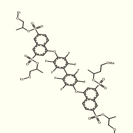 CCOCC(C)OS(=O)(=O)c1ccc2c(Oc3c(F)c(F)c(-c4c(F)c(F)c(Oc5cc(S(=O)(=O)OC(C)COCC)cc6cc(S(=O)(=O)OC(C)COCC)ccc56)c(F)c4F)c(F)c3F)cc(S(=O)(=O)OC(C)CCOC)cc2c1